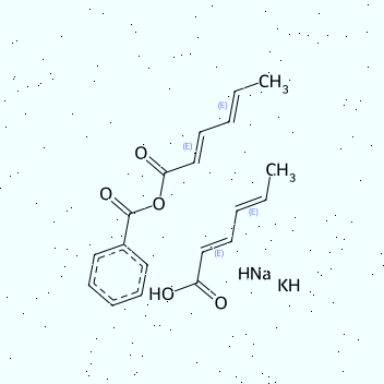 C/C=C/C=C/C(=O)O.C/C=C/C=C/C(=O)OC(=O)c1ccccc1.[KH].[NaH]